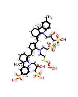 Cc1ccc2c(c1)C1(C)CCC/C(=C\C3=C(N(CCSOOO)CCS(=O)(=O)O)C(=C/C4=C5N(CC(O)CS(=O)(=O)O)c6ccc(S(=O)(=O)O)cc6C5(C)CCC4)/CC3)C1=[N+]2CC(O)CS(=O)(=O)O